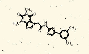 Cc1cc(C)cc(-c2csc(NC(=O)Cn3cnc4c3c(=O)n(C)c(=O)n4C)n2)c1